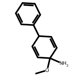 COC1(N)C=CC(c2ccccc2)C=C1